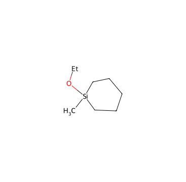 CCO[Si]1(C)CCCCC1